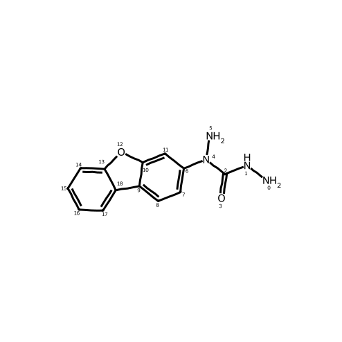 NNC(=O)N(N)c1ccc2c(c1)oc1ccccc12